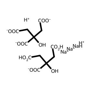 O=C(O)CC(O)(CC(=O)O)C(=O)[O-].O=C([O-])CC(O)(CC(=O)[O-])C(=O)[O-].[H+].[H+].[Na+].[Na+].[NaH]